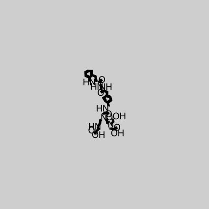 O=C(O)CNCCN(CCN(CC(=O)O)CC(=O)O)CC(=O)NCc1ccc(CC(=O)NNC(=O)[C@H]2Cc3ccccc3CN2)cc1